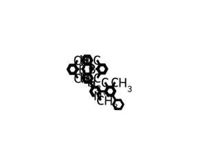 Cc1cc(C2CCCCC2)cc(-c2cc(-c3ccc4c(c3)B(c3c(C)cccc3C)c3ccccc3B4c3c(C)cccc3C)cc[n+]2C)c1C